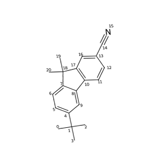 CC(C)(C)c1ccc2c(c1)-c1ccc(C#N)cc1C2(C)C